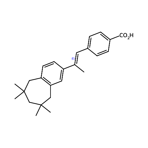 C/C(=C\c1ccc(C(=O)O)cc1)c1ccc2c(c1)CC(C)(C)CC(C)(C)C2